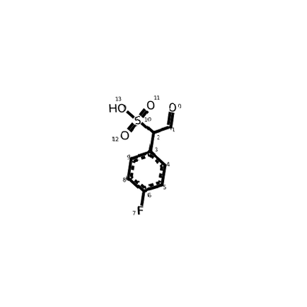 O=[C]C(c1ccc(F)cc1)S(=O)(=O)O